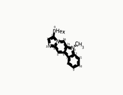 CCCCCCc1cnc2cc3c4ccccc4n(C)c3cn12